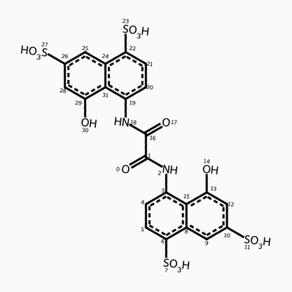 O=C(Nc1ccc(S(=O)(=O)O)c2cc(S(=O)(=O)O)cc(O)c12)C(=O)Nc1ccc(S(=O)(=O)O)c2cc(S(=O)(=O)O)cc(O)c12